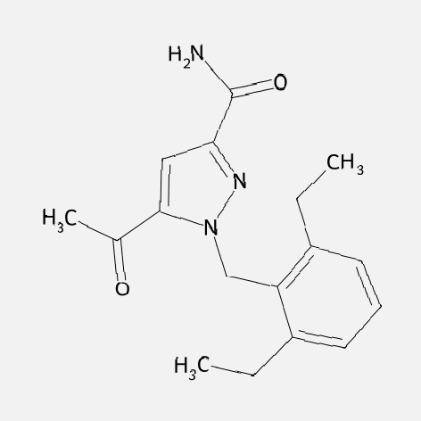 CCc1cccc(CC)c1Cn1nc(C(N)=O)cc1C(C)=O